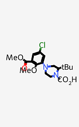 COC(=O)c1cc(Cl)cc(N2CCN(C(=O)O)C(C(C)(C)C)C2)c1OC